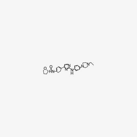 CCN1CCN(c2ccc(Nc3nccc(C4=CC=C(NC(=O)[C@@H]5CCCO5)CC4)n3)cc2)CC1